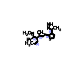 C=N/C(=C(/C=C\C)C(\C)=C\C=c1/scc/c1=C(\C)N=N)C(C)C